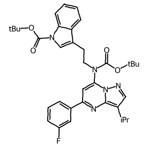 CC(C)c1cnn2c(N(CCc3cn(C(=O)OC(C)(C)C)c4ccccc34)C(=O)OC(C)(C)C)cc(-c3cccc(F)c3)nc12